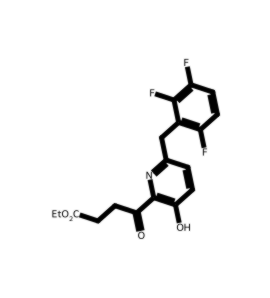 CCOC(=O)CCC(=O)c1nc(Cc2c(F)ccc(F)c2F)ccc1O